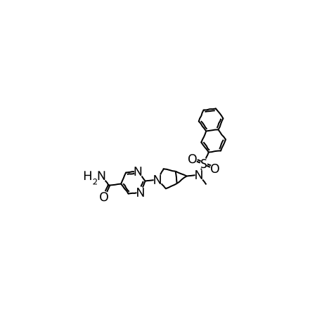 CN(C1C2CN(c3ncc(C(N)=O)cn3)CC21)S(=O)(=O)c1ccc2ccccc2c1